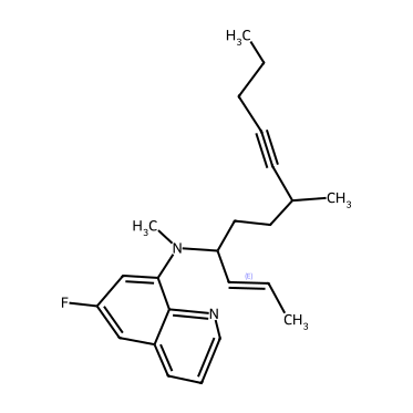 C/C=C/C(CCC(C)C#CCCC)N(C)c1cc(F)cc2cccnc12